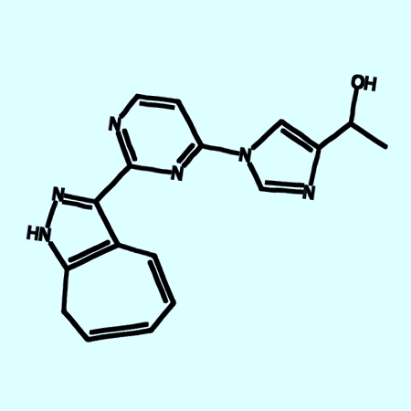 CC(O)c1cn(-c2ccnc(-c3n[nH]c4c3C=CC=CC4)n2)cn1